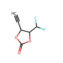 C#CC1OC(=O)OC1C(F)F